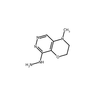 CN1CCOc2c1cnnc2NN